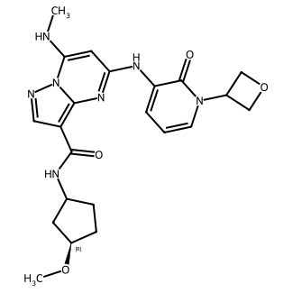 CNc1cc(Nc2cccn(C3COC3)c2=O)nc2c(C(=O)NC3CC[C@@H](OC)C3)cnn12